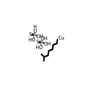 CCCCCCC(C)C.OP(O)(O)=S.OP(O)(O)=S.[Cu]